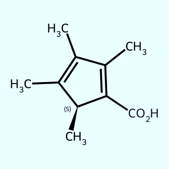 CC1=C(C)[C@H](C)C(C(=O)O)=C1C